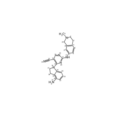 CN1CCc2ccc(Nc3ncc(C#N)c(N4CCc5c(N)cccc54)n3)cc2C1